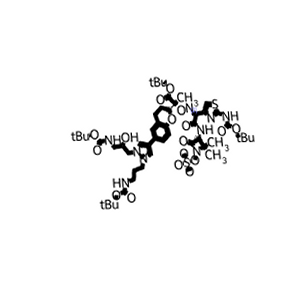 CC(C)(C)OC(=O)NCCC[n+]1cc(-c2ccc3c(c2)CC[C@H](C(C)(O/N=C(\C(=O)N[C@@H]2C(=O)N(OS(=O)(=O)[O-])C2(C)C)c2csc(NC(=O)OC(C)(C)C)n2)C(=O)OC(C)(C)C)O3)cn1CC(O)CNC(=O)OC(C)(C)C